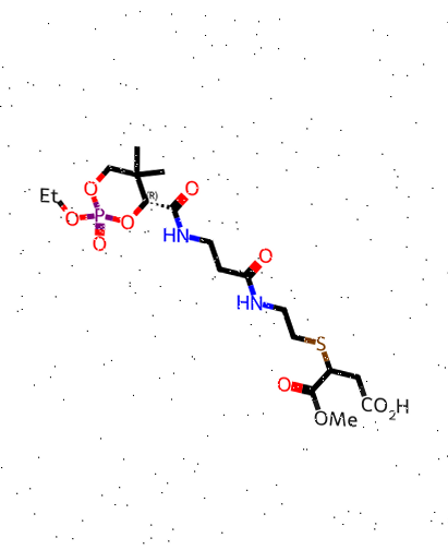 CCOP1(=O)OCC(C)(C)[C@H](C(=O)NCCC(=O)NCCSC(CC(=O)O)C(=O)OC)O1